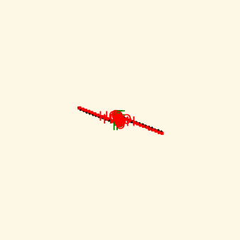 CCCCCCCCCCCCCCCCCCCCCCCOc1ccc(S(=O)(=O)c2c(C(F)(F)S(=O)(=O)O)cc(CCCCCCCCCCCCCCCCCCCCCCC)cc2C(F)(F)S(=O)(=O)O)c(C(F)(F)S(=O)(=O)O)c1